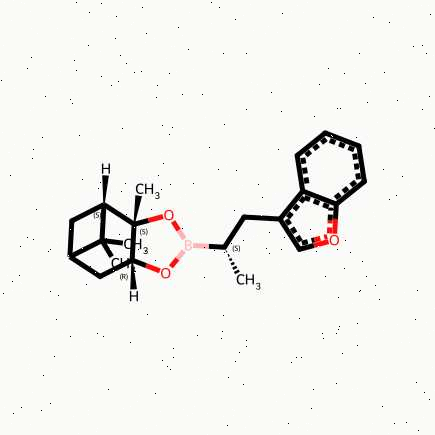 C[C@@H](Cc1coc2ccccc12)B1O[C@@H]2CC3C[C@@H](C3(C)C)[C@]2(C)O1